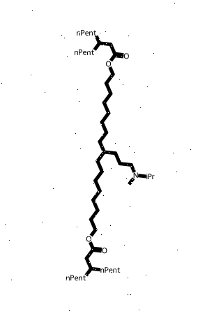 CCCCCC(CCCCC)CC(=O)OCCCCCCCCC(CCCCCCCCOC(=O)CC(CCCCC)CCCCC)CCCN(C)C(C)C